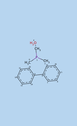 CP(C)C.O.c1ccc(-c2ccccc2)cc1